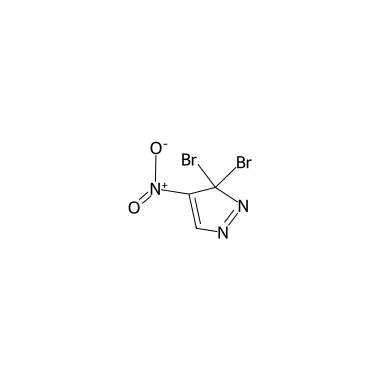 O=[N+]([O-])C1=CN=NC1(Br)Br